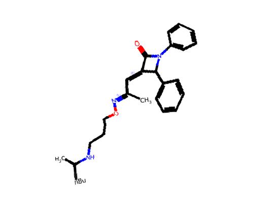 CCCCC(C)NCCCO/N=C(C)/C=C1/C(=O)N(c2ccccc2)C1c1ccccc1